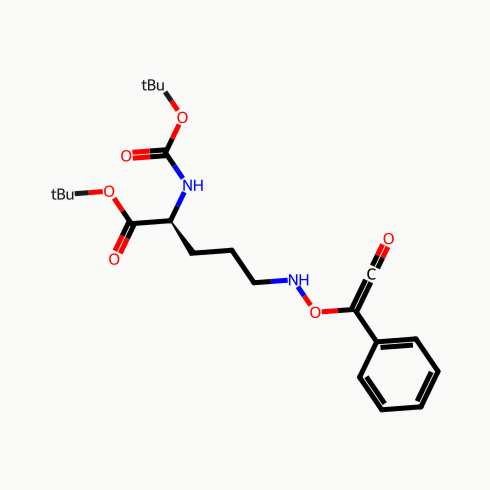 CC(C)(C)OC(=O)N[C@@H](CCCNOC(=C=O)c1ccccc1)C(=O)OC(C)(C)C